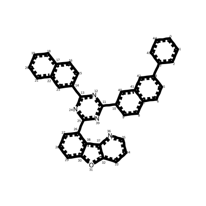 c1ccc(-c2ccc3ccc(-c4nc(-c5ccc6ccccc6c5)nc(-c5cccc6oc7cccnc7c56)n4)cc3c2)cc1